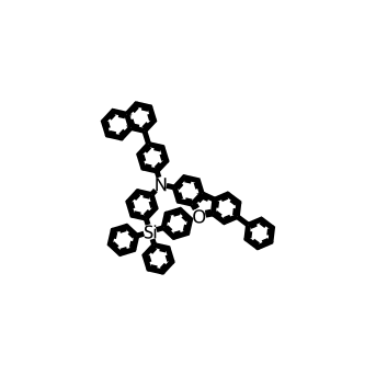 c1ccc(-c2ccc3c(c2)oc2cc(N(c4ccc(-c5cccc6ccccc56)cc4)c4cccc([Si](c5ccccc5)(c5ccccc5)c5ccccc5)c4)ccc23)cc1